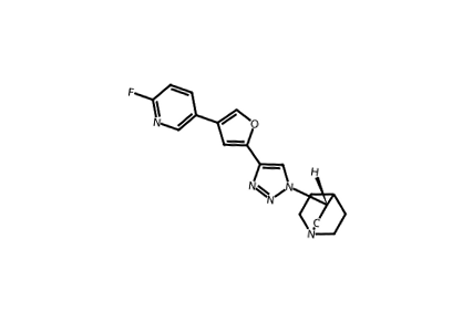 Fc1ccc(-c2coc(-c3cn([C@H]4CN5CCC4CC5)nn3)c2)cn1